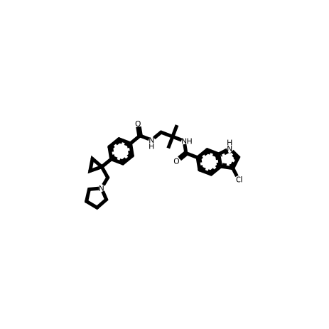 CC(C)(CNC(=O)c1ccc(C2(CN3CCCC3)CC2)cc1)NC(=O)c1ccc2c(Cl)c[nH]c2c1